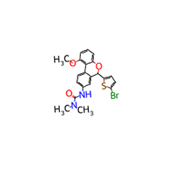 COc1cccc2c1-c1ccc(NC(=O)N(C)C)cc1C(c1ccc(Br)s1)O2